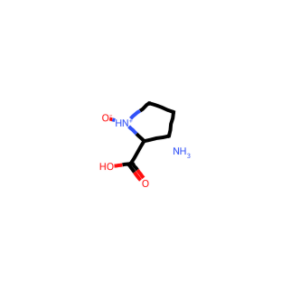 N.O=C(O)C1CCC[NH+]1[O-]